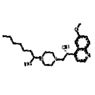 CCCCCCC(O)N1CCN(C[C@H](O)c2ccnc3ccc(OC)cc23)CC1